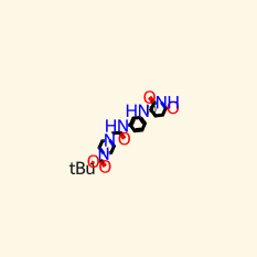 CC(C)(C)OC(=O)N1CCN(CC(=O)Nc2cccc(N[C@H]3CCC(=O)NC3=O)c2)CC1